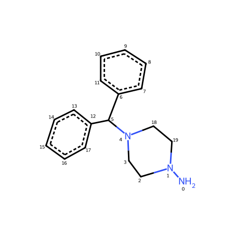 NN1CCN(C(c2ccccc2)c2ccccc2)CC1